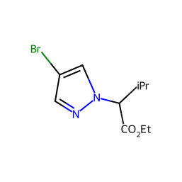 CCOC(=O)C(C(C)C)n1cc(Br)cn1